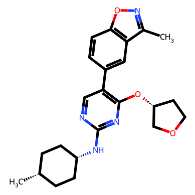 Cc1noc2ccc(-c3cnc(N[C@H]4CC[C@@H](C)CC4)nc3O[C@@H]3CCOC3)cc12